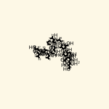 CC(C)[C@H](NC(=O)[C@H](C)NC(=O)[C@H](C)NC(=O)[C@@H]1CCCN1C(=O)[C@@H](NC(=O)[C@@H](C)[C@@H](C)O[C@H]1OC(CO)[C@H](O)[C@H](O[C@@H]2OC(CO)[C@H](O)C(O[C@]3(C(=O)O)C[C@@H](O)[C@@H](N)C([C@H](O)[C@H](O)CO)O3)[C@@H]2O)C1C)C(C)C)C(=O)N[C@H](C(=O)N[C@H](C(=O)N[C@@H](C)C(=O)O)C(C)C)C(C)C